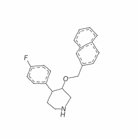 Fc1ccc(C2CCNCC2OCc2ccc3ccccc3c2)cc1